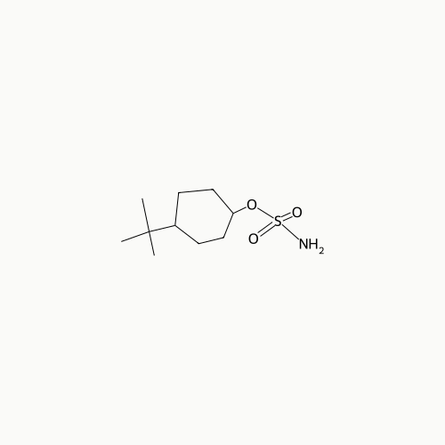 CC(C)(C)C1CCC(OS(N)(=O)=O)CC1